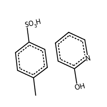 Cc1ccc(S(=O)(=O)O)cc1.Oc1ccccn1